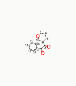 O=C1C(=O)C2CCCOC2c2ccccc21